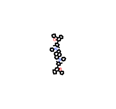 Cc1cc(-c2cc3ccccc3c3c2oc2ccccc23)cc(C)c1N(c1ccccc1)c1ccc2ccc3c(N(c4ccccc4)c4c(C)cc(-c5cc6ccccc6c6c5oc5ccccc56)cc4C)ccc4ccc1c2c43